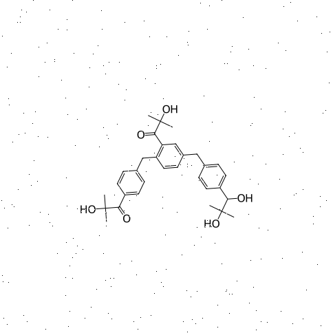 CC(C)(O)C(=O)c1ccc(Cc2ccc(Cc3ccc(C(O)C(C)(C)O)cc3)cc2C(=O)C(C)(C)O)cc1